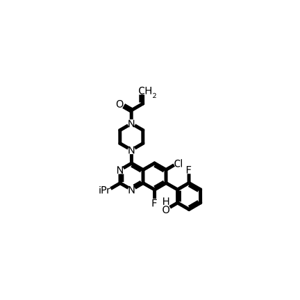 C=CC(=O)N1CCN(c2nc(C(C)C)nc3c(F)c(-c4c(O)cccc4F)c(Cl)cc23)CC1